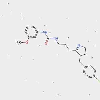 COc1cccc(NC(=O)NCCCC2=NCCC2Cc2ccc(F)cc2)c1